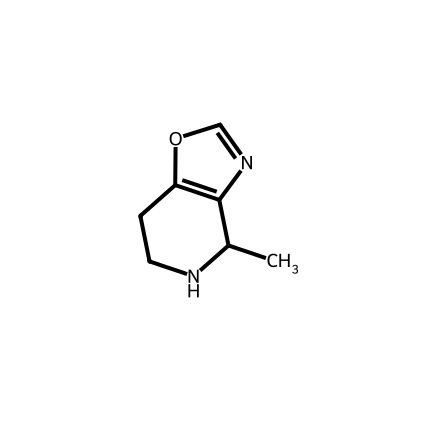 CC1NCCc2ocnc21